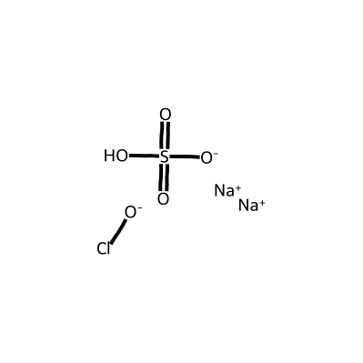 O=S(=O)([O-])O.[Na+].[Na+].[O-]Cl